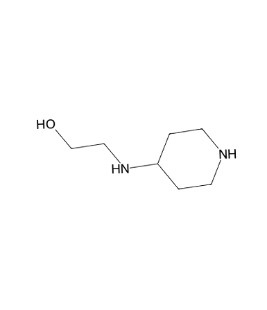 OCCNC1CCNCC1